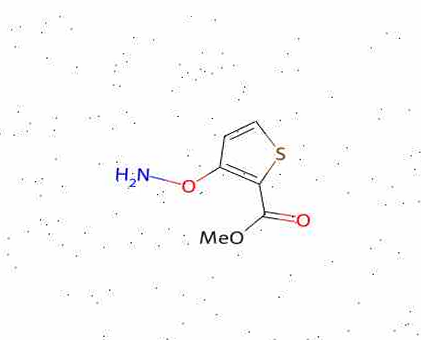 COC(=O)c1sccc1ON